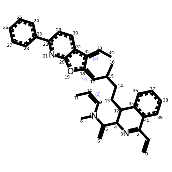 C=CC1=NC(C(=C)N(C)/C=C\C)C(CCC(C)/C=c2/oc3nc(-c4ccccc4)ccc3/c2=C/C)c2ccccc21